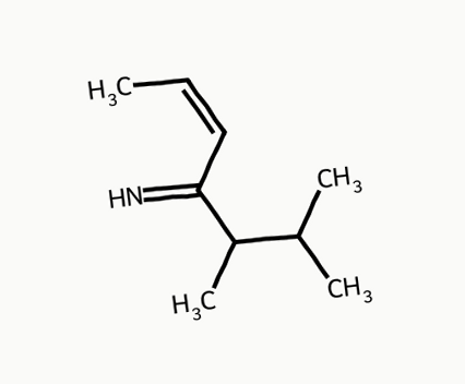 C/C=C\C(=N)C(C)C(C)C